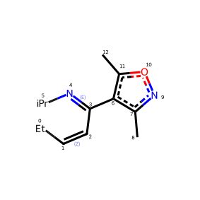 CC/C=C\C(=N/C(C)C)c1c(C)noc1C